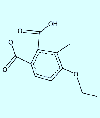 CCOc1ccc(C(=O)O)c(C(=O)O)c1C